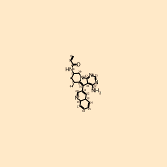 C=CC(=O)NC1C[C@H](C)c2c(C3=CC4C=CC=CC4N=C3)c3c(N)ncnc3n2C1